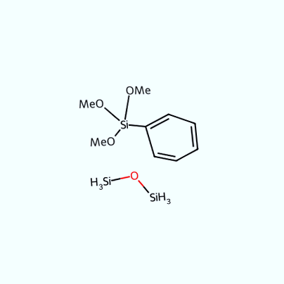 CO[Si](OC)(OC)c1ccccc1.[SiH3]O[SiH3]